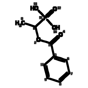 CC(OC(=O)c1ccccc1)P(=O)(O)O